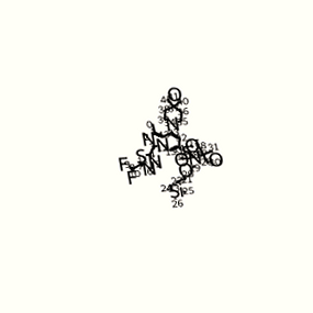 Cc1nc(-c2nnc(C(F)F)s2)n2cc(S(=O)(=O)N(COCC[Si](C)(C)C)C3(C)COC3)cc(N3CCC4(CC3)COC4)c12